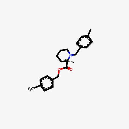 Cc1ccc(CN2CCCC[C@]2(C)C(=O)OCc2ccc(C(F)(F)F)cc2)cc1